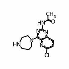 CC(=O)Nc1nc(N2CCCNCC2)c2nc(Cl)ccc2n1